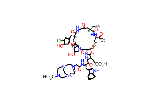 CCC(=O)[C@@H]1CSSC[C@H](NC(=O)[C@@H](CCC(=O)O)CC(=O)[C@H](Cc2c[nH]c3ccccc23)NC(=O)CN2CCCN3CCN(CCCN(CC(=O)O)CC3)CC2)C(=O)N2C[C@H](O)C[C@H]2C(=O)C[C@@H](Cc2ccc(O)c(Cl)c2)C(=O)NCC(=O)C[C@@H](CC(C)C)C(=O)N1